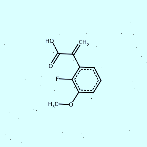 C=C(C(=O)O)c1cccc(OC)c1F